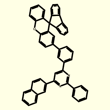 c1ccc(-c2nc(-c3cccc(-c4ccc5c(c4)C4(c6ccccc6O5)c5ccccc5-c5ccccc54)c3)cc(-c3ccc4ccccc4c3)n2)cc1